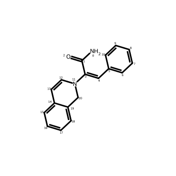 NC(=O)C(=Cc1ccccc1)N1C=Cc2ccccc2C1